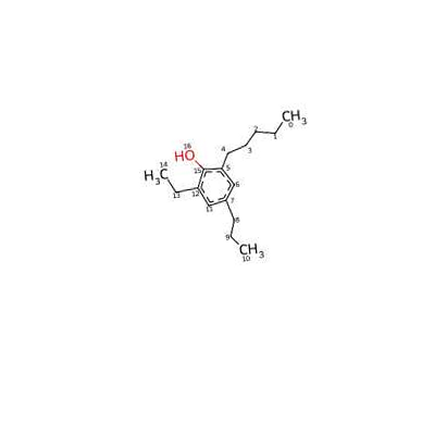 CCCCCc1cc(CCC)cc(CC)c1O